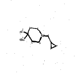 CC(C)(C)C1(C#N)CCN(CC2CC2)CC1